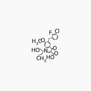 CCC[C@@H](CO)n1cc(C(=O)O)c(=O)c2cc(Cc3cccc(Cl)c3F)c(OC)cc21